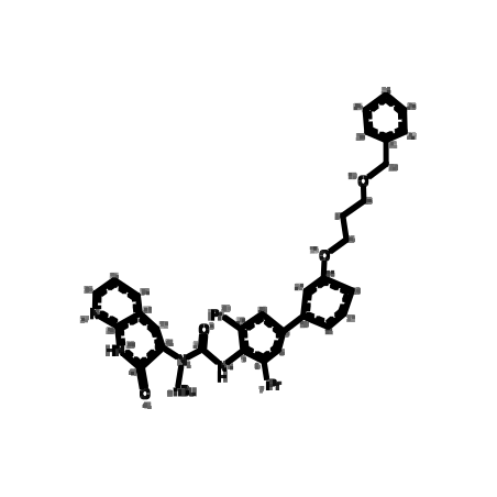 CCCCN(C(=O)Nc1c(C(C)C)cc(-c2cccc(OCCCOCc3ccccc3)c2)cc1C(C)C)c1cc2cccnc2[nH]c1=O